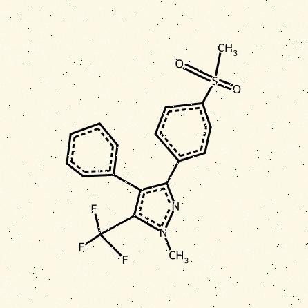 Cn1nc(-c2ccc(S(C)(=O)=O)cc2)c(-c2ccccc2)c1C(F)(F)F